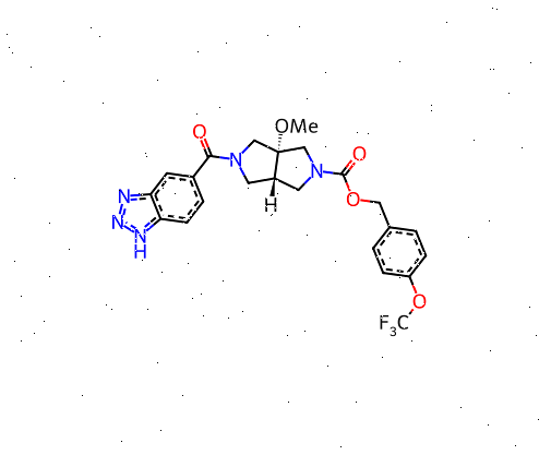 CO[C@]12CN(C(=O)OCc3ccc(OC(F)(F)F)cc3)C[C@@H]1CN(C(=O)c1ccc3[nH]nnc3c1)C2